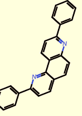 c1ccc(-c2ccc3c(ccc4ccc(-c5ccccc5)nc43)n2)cc1